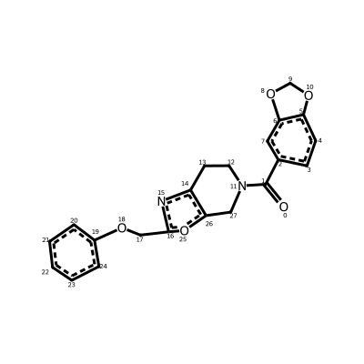 O=C(c1ccc2c(c1)OCO2)N1CCc2nc(COc3ccccc3)oc2C1